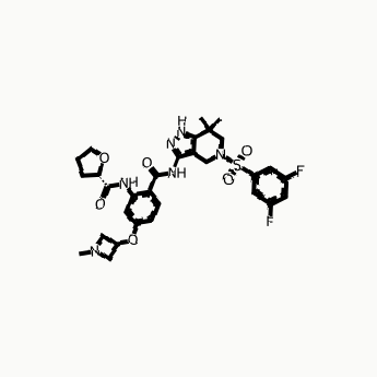 CN1CC(Oc2ccc(C(=O)Nc3n[nH]c4c3CN(S(=O)(=O)c3cc(F)cc(F)c3)CC4(C)C)c(NC(=O)[C@@H]3CCCO3)c2)C1